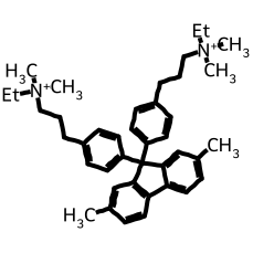 CC[N+](C)(C)CCCc1ccc(C2(c3ccc(CCC[N+](C)(C)CC)cc3)c3cc(C)ccc3-c3ccc(C)cc32)cc1